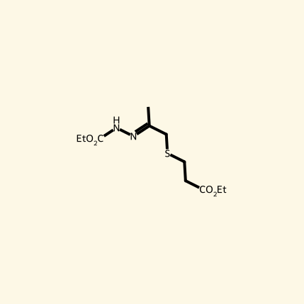 CCOC(=O)CCSCC(C)=NNC(=O)OCC